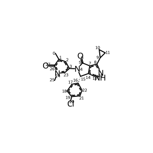 Cc1cc(N2C(=O)c3c(C4CC4)n[nH]c3[C@@H]2c2ccc(Cl)cc2)cn(C)c1=O